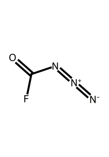 [N-]=[N+]=NC(=O)F